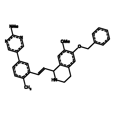 CNc1ncc(-c2ccc(C)c(/C=C/C3NCCc4cc(OCc5ccccc5)c(OC)cc43)c2)cn1